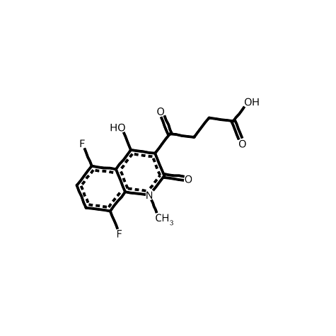 Cn1c(=O)c(C(=O)CCC(=O)O)c(O)c2c(F)ccc(F)c21